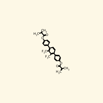 C=C(C)C(=O)Oc1ccc(-c2ccc(-c3ccc(OC(=O)C(=C)C)cc3)c(C(F)(F)F)c2C(F)(F)F)cc1